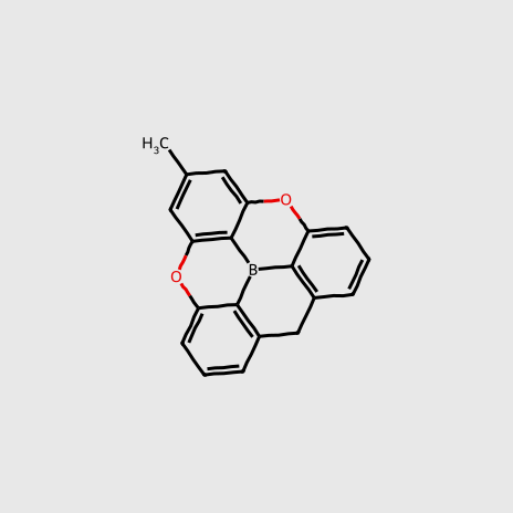 Cc1cc2c3c(c1)Oc1cccc4c1B3c1c(cccc1O2)C4